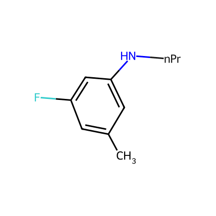 CCCNc1cc(C)cc(F)c1